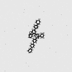 C1=CC(c2ccc(-c3ccc(-c4nc(-c5ccccc5)nc(-c5cc(-c6ccc(-c7ccccc7)cc6)cc6oc7ccccc7c56)n4)cc3)cc2)=CCC1